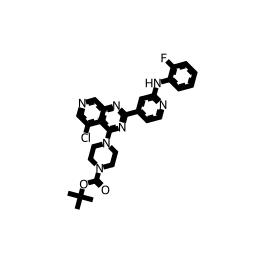 CC(C)(C)OC(=O)N1CCN(c2nc(-c3ccnc(Nc4ccccc4F)c3)nc3cncc(Cl)c23)CC1